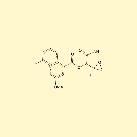 COc1cc(C(=O)OC(C(N)=O)[C@]2(C)CO2)c2cccc(C)c2c1